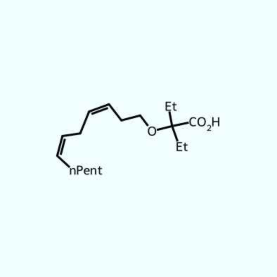 CCCCC/C=C\C/C=C\CCOC(CC)(CC)C(=O)O